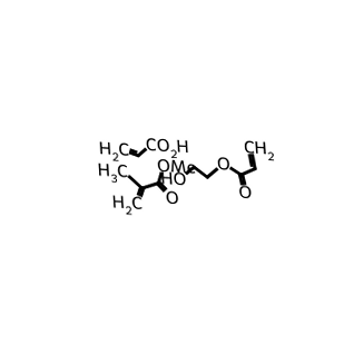 C=C(C)C(=O)OC.C=CC(=O)O.C=CC(=O)OCCO